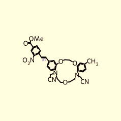 COC(=O)c1ccc(/C=C/c2ccc3c(c2)OCCOc2cc(C)ccc2N(CC#N)CCOCCN3CC#N)c([N+](=O)[O-])c1